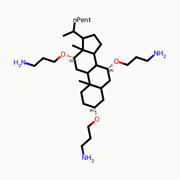 CCCCCC(C)C1CCC2C3C(C[C@H](OCCCN)C12C)C1(C)CC[C@@H](OCCCN)CC1C[C@H]3OCCCN